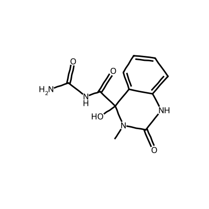 CN1C(=O)Nc2ccccc2C1(O)C(=O)NC(N)=O